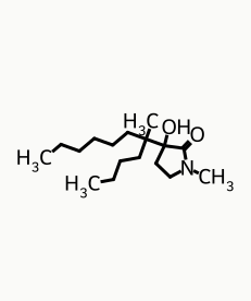 CCCCCCC(C)(CCCC)C1(O)CCN(C)C1=O